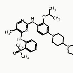 Cc1cnc(Nc2ccc(N3CCC(N4CCCC4)CC3)cc2OC(C)C)nc1Nc1ccccc1P(C)(C)=O